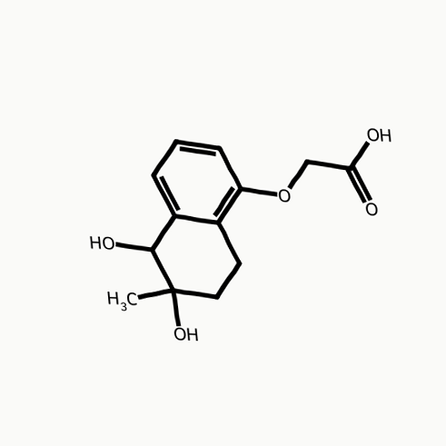 CC1(O)CCc2c(OCC(=O)O)cccc2C1O